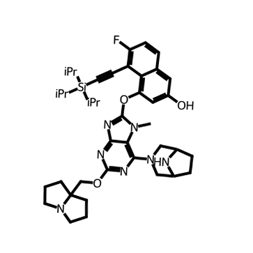 CC(C)[Si](C#Cc1c(F)ccc2cc(O)cc(Oc3nc4nc(OCC56CCCN5CCC6)nc(N5CC6CCC(C5)N6)c4n3C)c12)(C(C)C)C(C)C